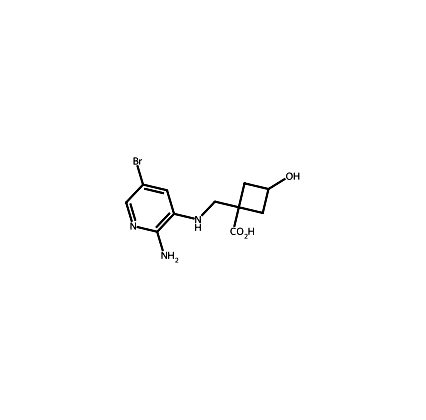 Nc1ncc(Br)cc1NCC1(C(=O)O)CC(O)C1